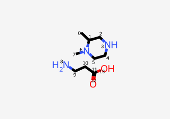 CC1CNCCN1C.NCCC(=O)O